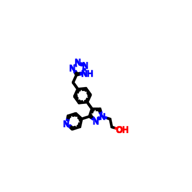 OCCn1cc(-c2ccc(Cc3nnn[nH]3)cc2)c(-c2ccncc2)n1